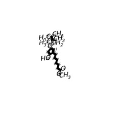 COC(=O)CCCCCCC1=CC(O[SiH2]C(C)(C)C(C)C)CC1O